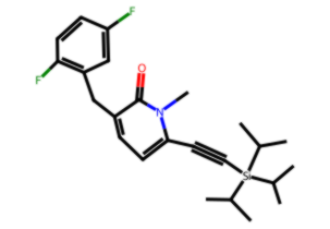 CC(C)[Si](C#Cc1ccc(Cc2cc(F)ccc2F)c(=O)n1C)(C(C)C)C(C)C